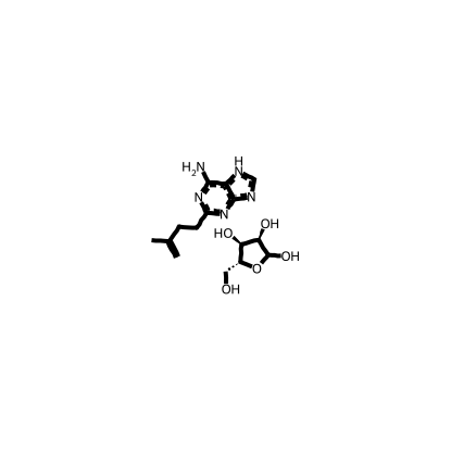 C=C(C)CCc1nc(N)c2[nH]cnc2n1.OC[C@H]1OC(O)[C@H](O)[C@@H]1O